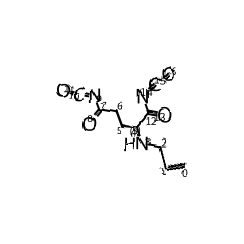 C=CCN[C@@H](CCC(=O)N=C=O)C(=O)N=C=O